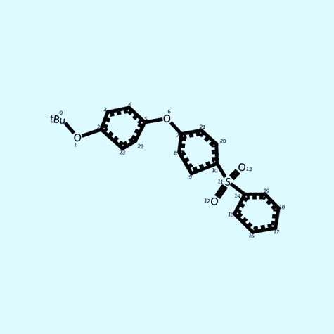 CC(C)(C)Oc1ccc(Oc2ccc(S(=O)(=O)c3ccccc3)cc2)cc1